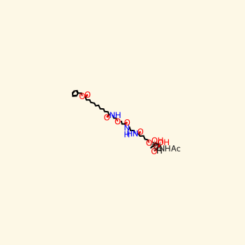 CC(=O)N[C@H]1[C@H]2OC[C@](COCCCCC(=O)NCCCNC(=O)CCOCCNC(=O)CCCCCCCCCCC(=O)OCc3ccccc3)(O2)[C@H](O)[C@@H]1O